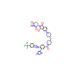 Cn1cnc(-c2cc(C(=O)N3CCC(CC4CCN(c5ccc6c(c5)C(=O)N([C@H]5CCC(=O)NC5=O)C6=O)CC4)CC3)ccc2NCc2ccc(C(F)(F)F)cc2)c1